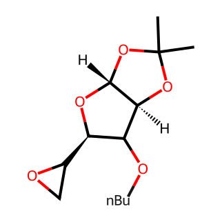 CCCCOC1[C@@H](C2CO2)O[C@@H]2OC(C)(C)O[C@@H]12